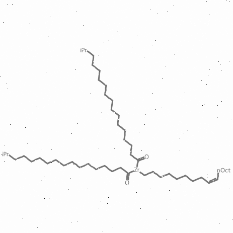 CCCCCCCC/C=C\CCCCCCC[CH2][Zr]([C](=O)CCCCCCCCCCCCCCC(C)C)[C](=O)CCCCCCCCCCCCCCC(C)C